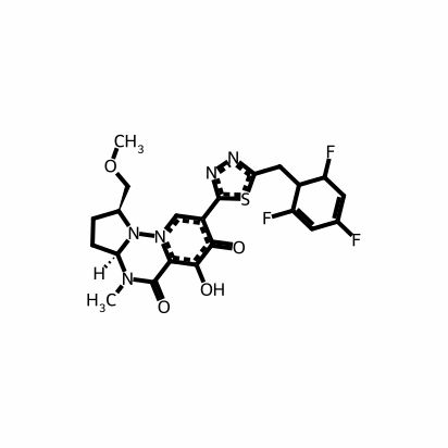 COC[C@@H]1CC[C@@H]2N(C)C(=O)c3c(O)c(=O)c(-c4nnc(CC5C(F)=CC(F)=CC5F)s4)cn3N12